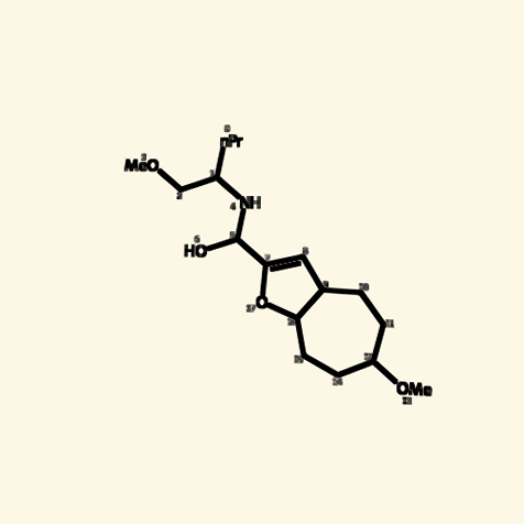 CCCC(COC)NC(O)C1=CC2CCC(OC)CCC2O1